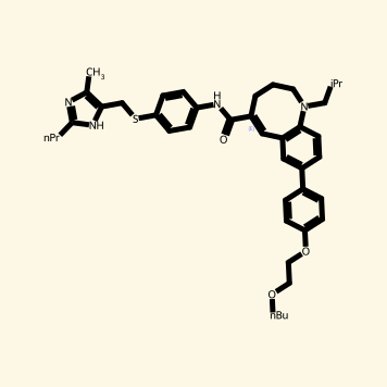 CCCCOCCOc1ccc(-c2ccc3c(c2)/C=C(/C(=O)Nc2ccc(SCc4[nH]c(CCC)nc4C)cc2)CCCN3CC(C)C)cc1